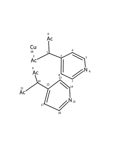 CC(=O)C(C(C)=O)c1ccncc1.CC(=O)C(C(C)=O)c1ccncc1.[Cu]